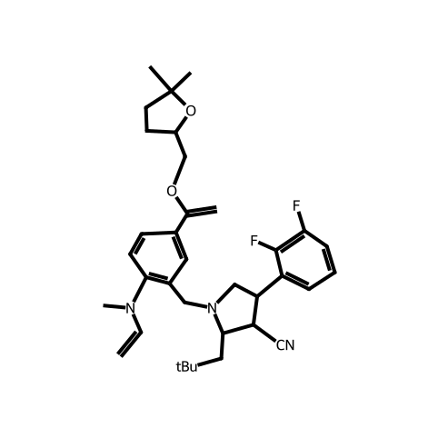 C=CN(C)c1ccc(C(=C)OCC2CCC(C)(C)O2)cc1CN1CC(c2cccc(F)c2F)C(C#N)C1CC(C)(C)C